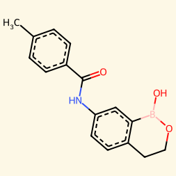 Cc1ccc(C(=O)Nc2ccc3c(c2)B(O)OCC3)cc1